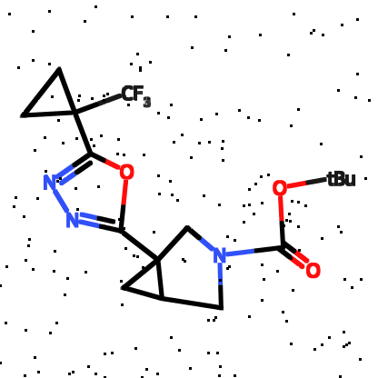 CC(C)(C)OC(=O)N1CC2CC2(c2nnc(C3(C(F)(F)F)CC3)o2)C1